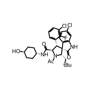 CC(=O)N1[C@@H](CC(C)(C)C)[C@@]2(C(=O)Nc3cc(Cl)ccc32)[C@@H](c2cccc(Cl)c2F)[C@@H]1C(=O)N[C@H]1CC[C@H](O)CC1